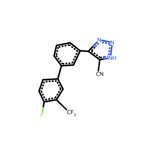 N#Cc1[nH]nnc1-c1cccc(-c2ccc(F)c(C(F)(F)F)c2)c1